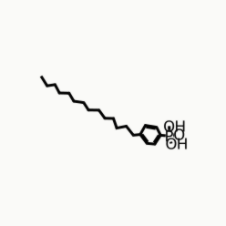 CCCCCCCCCCCCCCc1ccc(P(=O)(O)O)cc1